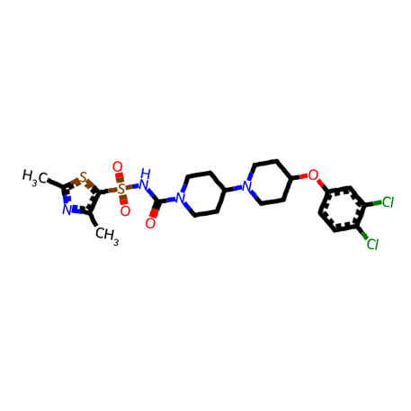 Cc1nc(C)c(S(=O)(=O)NC(=O)N2CCC(N3CCC(Oc4ccc(Cl)c(Cl)c4)CC3)CC2)s1